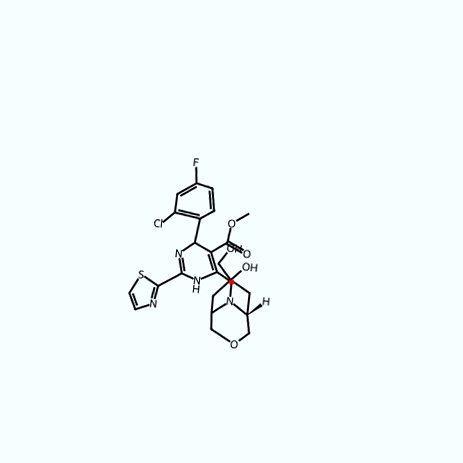 COC(=O)C1=C(CN2C3COC[C@H]2CC(O)(CO)C3)NC(c2nccs2)=NC1c1ccc(F)cc1Cl